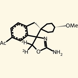 [2H]C1([2H])OC(N)=NC12c1cc(C(C)=O)ccc1C[C@]21CC[C@@H](OC)CC1